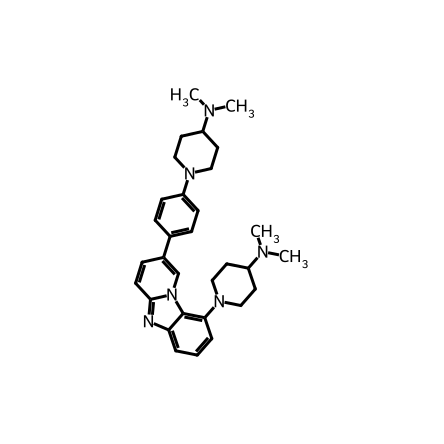 CN(C)C1CCN(c2ccc(-c3ccc4nc5cccc(N6CCC(N(C)C)CC6)c5n4c3)cc2)CC1